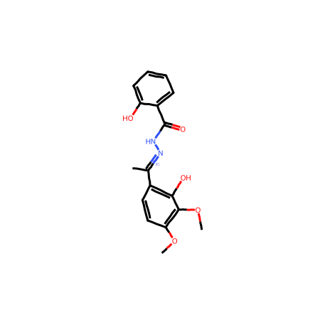 COc1ccc(/C(C)=N/NC(=O)c2ccccc2O)c(O)c1OC